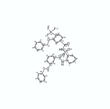 O=C(Nc1ccccc1S(=O)(=O)NC(=O)c1ccc(C(F)(F)F)c(OCc2ccccc2)c1)c1cccc(OCc2ccccc2)c1